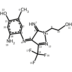 Cc1cc(N=C2C(=N)N(CCO)N=C2C(F)(F)F)c(N)cc1O